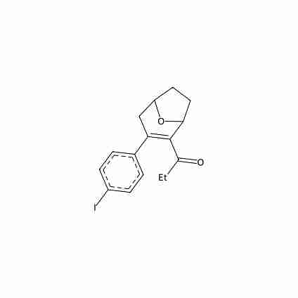 CCC(=O)C1=C(c2ccc(I)cc2)CC2CCC1O2